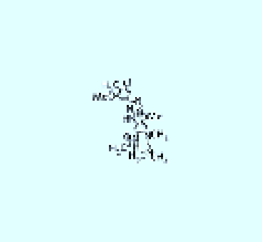 C=CC(=O)Nc1cc(Nc2ncnc(-c3cc(Cl)c(C)c(OC)c3)n2)c(OC)cc1N(C)CCN(C)C